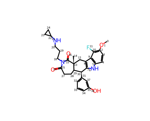 COc1ccc2[nH]c3c(c2c1F)C[C@@]1(C)C(=O)N(CCCNC2CC2)C(=O)CCC1[C@@H]3c1cccc(O)c1